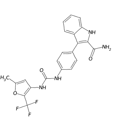 Cc1cc(NC(=O)Nc2ccc(-c3c(C(N)=O)[nH]c4ccccc34)cc2)c(C(F)(F)F)o1